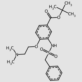 CN(C)CCOc1ccc(C(=O)OC(C)(C)C)cc1NS(=O)(=O)Cc1ccccc1